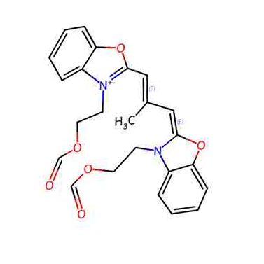 CC(=C\c1oc2ccccc2[n+]1CCOC=O)/C=C1/Oc2ccccc2N1CCOC=O